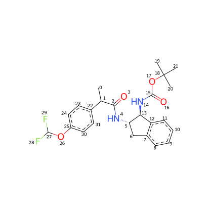 CC(C(=O)N[C@H]1Cc2ccccc2[C@@H]1NC(=O)OC(C)(C)C)c1ccc(OC(F)F)cc1